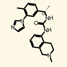 Cc1ccc([C@H](C)NC(=O)Nc2cccc3c2CCN(C)C3)cc1-n1ccnc1